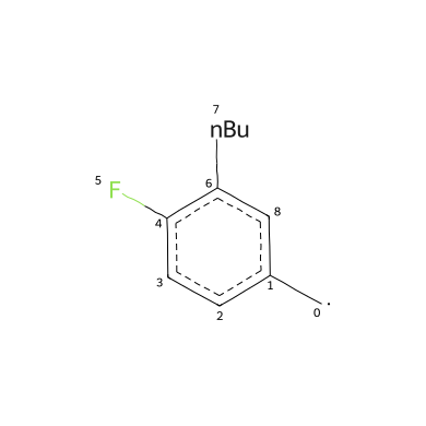 [CH2]c1ccc(F)c(CCCC)c1